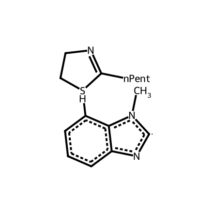 CCCCCC1=NCC[SH]1c1cccc2n[c]n(C)c12